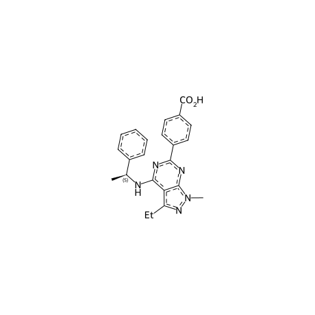 CCc1nn(C)c2nc(-c3ccc(C(=O)O)cc3)nc(N[C@@H](C)c3ccccc3)c12